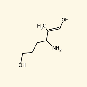 C/C(=C\O)C(N)CCCO